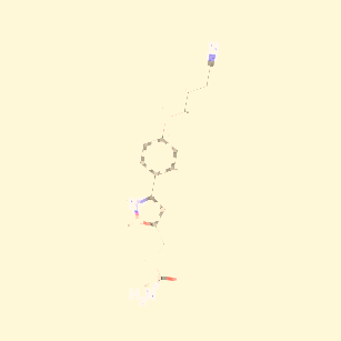 N#CCCCOc1ccc(-c2cc(COC(N)=O)on2)cc1